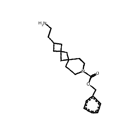 NCCC1CC2(C1)CC1(CCN(C(=O)OCc3ccccc3)CC1)C2